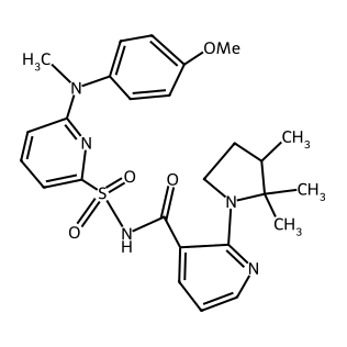 COc1ccc(N(C)c2cccc(S(=O)(=O)NC(=O)c3cccnc3N3CCC(C)C3(C)C)n2)cc1